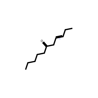 CC/C=C/CC(=O)CCCCC